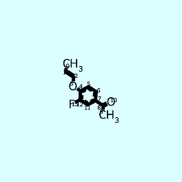 CC=COc1ccc(C(C)=O)cc1F